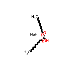 CCCCCCCCCCCC(=O)OC[C@H](CO)OC(=O)CCCCCCCCCCC.[NaH]